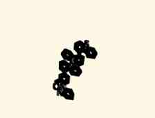 c1ccc([Si](c2ccccc2)(c2cccc(-c3ccc4c(c3)COc3nc5ccccc5n3-4)c2)c2cccc(-c3cccc4sc5ccccc5c34)c2)cc1